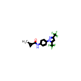 CC1CC1C(=O)Nc1ccc(-n2nc(C(F)(F)F)cc2C(F)(F)F)cc1